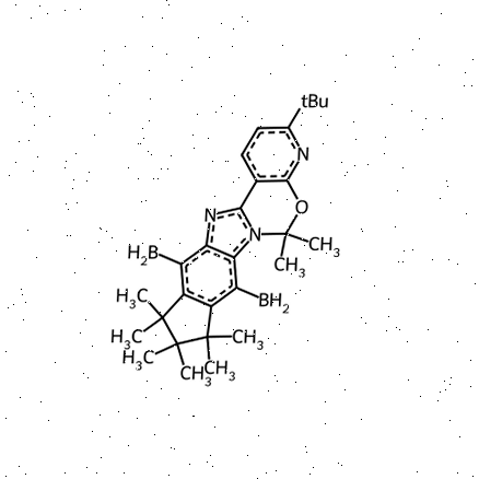 Bc1c2c(c(B)c3c1nc1n3C(C)(C)Oc3nc(C(C)(C)C)ccc3-1)C(C)(C)C(C)(C)C2(C)C